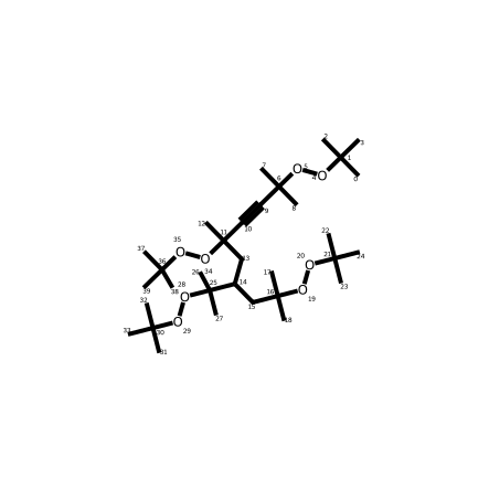 CC(C)(C)OOC(C)(C)C#CC(C)(CC(CC(C)(C)OOC(C)(C)C)C(C)(C)OOC(C)(C)C)OOC(C)(C)C